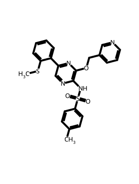 CSc1ccccc1-c1cnc(NS(=O)(=O)c2ccc(C)cc2)c(OCc2cccnc2)n1